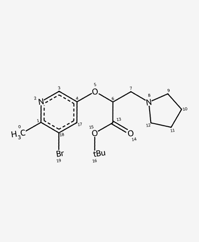 Cc1ncc(OC(CN2CCCC2)C(=O)OC(C)(C)C)cc1Br